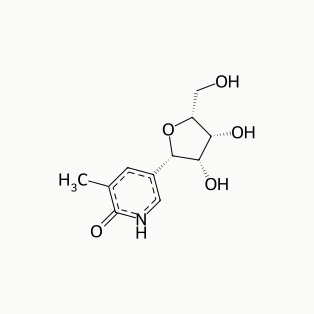 Cc1cc([C@@H]2O[C@H](CO)[C@H](O)[C@@H]2O)c[nH]c1=O